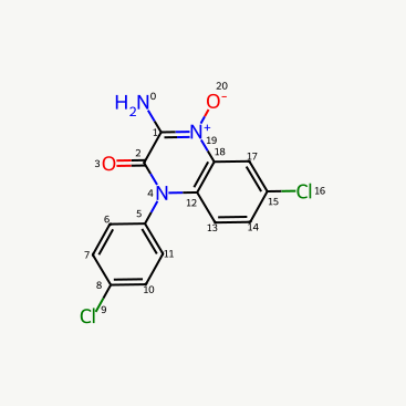 Nc1c(=O)n(-c2ccc(Cl)cc2)c2ccc(Cl)cc2[n+]1[O-]